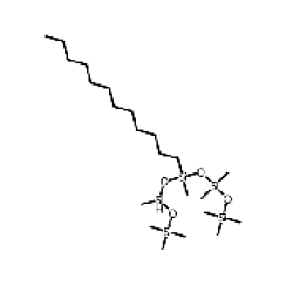 CCCCCCCCCCCC[Si](C)(O[SiH](C)O[Si](C)(C)C)O[Si](C)(C)O[Si](C)(C)C